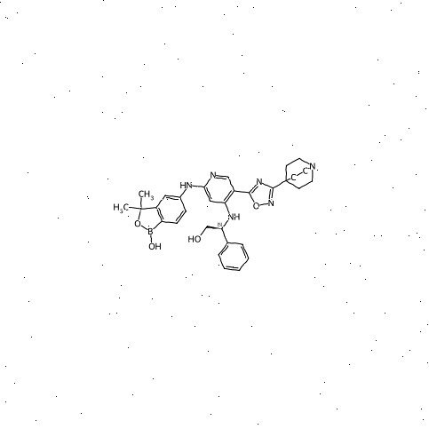 CC1(C)OB(O)c2ccc(Nc3cc(N[C@H](CO)c4ccccc4)c(-c4nc(C56CCN(CC5)CC6)no4)cn3)cc21